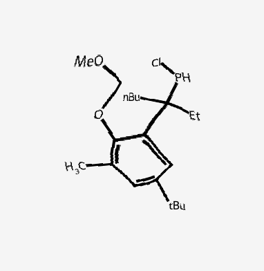 CCCCC(CC)(PCl)c1cc(C(C)(C)C)cc(C)c1OCOC